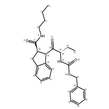 CCCCNC(=O)[C@@H]1Cc2ccccc2N1C(=O)[C@H](CC)NC(=O)OCc1ccccc1